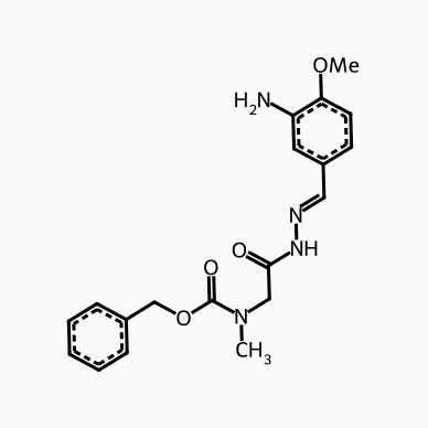 COc1ccc(/C=N/NC(=O)CN(C)C(=O)OCc2ccccc2)cc1N